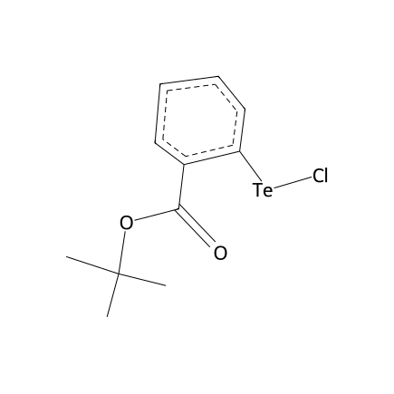 CC(C)(C)OC(=O)c1ccccc1[Te]Cl